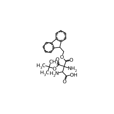 CC(C)(C)OC(=O)C(N)(C(=O)OCC1c2ccccc2-c2ccccc21)C(N)C(=O)O